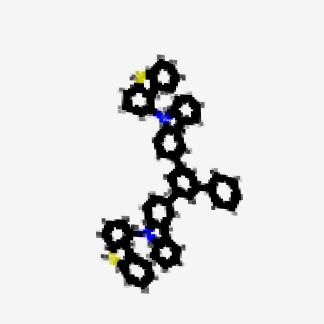 c1ccc(-c2cc(-c3ccc4c(c3)c3ccccc3n4-c3cccc4sc5ccccc5c34)cc(-c3ccc4c(c3)c3ccccc3n4-c3cccc4sc5ccccc5c34)c2)cc1